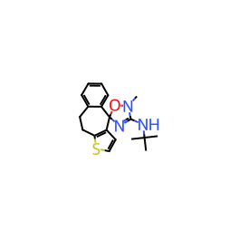 CN1OC2(N=C1NC(C)(C)C)c1ccccc1CCc1sccc12